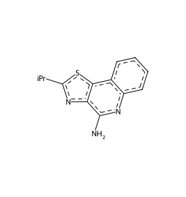 CC(C)c1nc2c(N)nc3ccccc3c2s1